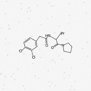 CC(C)C(NC(=O)Cc1ccc(Cl)c(Cl)c1)C(=O)N1CCCC1